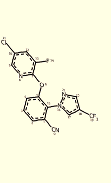 N#Cc1cccc(Oc2ncc(Cl)cc2F)c1-n1cc(C(F)(F)F)cn1